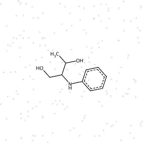 CC(O)C(CO)Nc1ccccc1